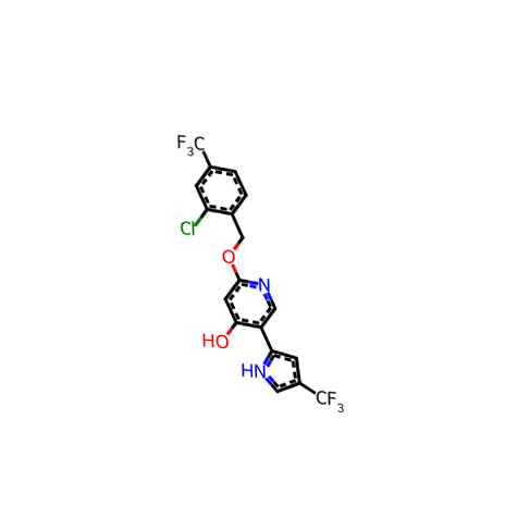 Oc1cc(OCc2ccc(C(F)(F)F)cc2Cl)ncc1-c1cc(C(F)(F)F)c[nH]1